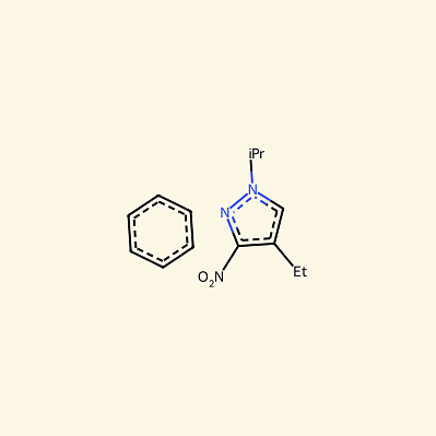 CCc1cn(C(C)C)nc1[N+](=O)[O-].c1ccccc1